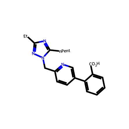 CCCCCc1nc(CC)nn1Cc1ccc(-c2ccccc2C(=O)O)cn1